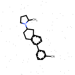 CC1CCCN1C1CCc2cc(-c3cccc(C#N)c3)ccc2C1